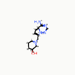 Nc1ncnn2c(CN3CCCC(O)C3)ccc12